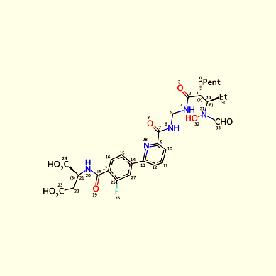 CCCCC[C@@H](C(=O)NCNC(=O)c1cccc(-c2ccc(C(=O)N[C@@H](CC(=O)O)C(=O)O)c(F)c2)n1)[C@@H](CC)N(O)C=O